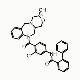 O=C(Nc1ccc(C(=O)N2CC3CO[C@H](O)CN3Cc3ccccc32)c(Cl)c1)c1ccccc1-c1ccccc1